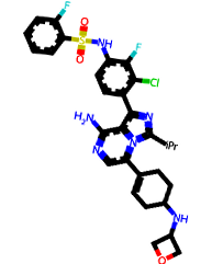 CC(C)c1nc(-c2ccc(NS(=O)(=O)c3ccccc3F)c(F)c2Cl)c2c(N)ncc(C3=CCC(NC4COC4)CC3)n12